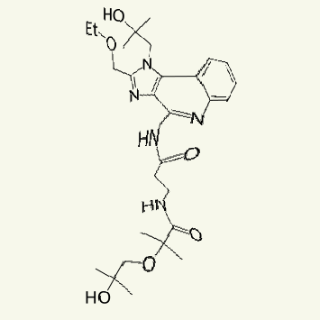 CCOCc1nc2c(NC(=O)CCNC(=O)C(C)(C)OCC(C)(C)O)nc3ccccc3c2n1CC(C)(C)O